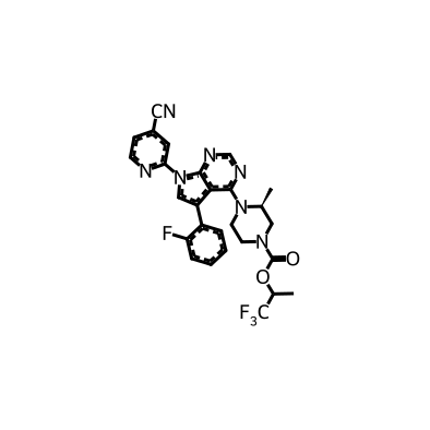 CC(OC(=O)N1CCN(c2ncnc3c2c(-c2ccccc2F)cn3-c2cc(C#N)ccn2)[C@@H](C)C1)C(F)(F)F